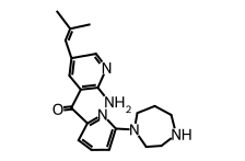 CC(C)=Cc1cnc(N)c(C(=O)c2cccc(N3CCCNCC3)n2)c1